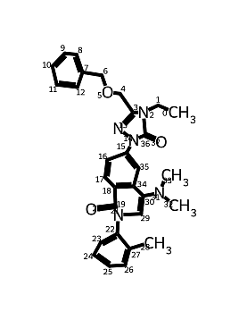 CCn1c(COCc2ccccc2)nn(-c2ccc3c(=O)n(-c4ccccc4C)cc(N(C)C)c3c2)c1=O